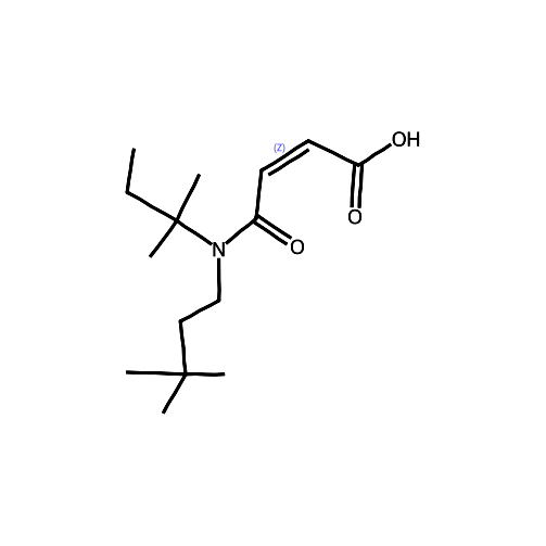 CCC(C)(C)N(CCC(C)(C)C)C(=O)/C=C\C(=O)O